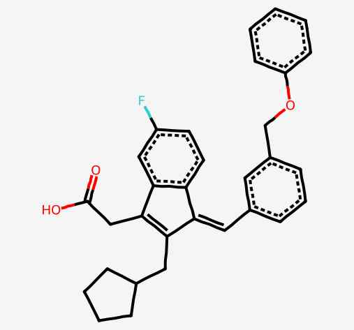 O=C(O)CC1=C(CC2CCCC2)/C(=C/c2cccc(COc3ccccc3)c2)c2ccc(F)cc21